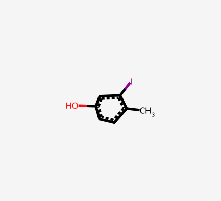 Cc1ccc(O)cc1I